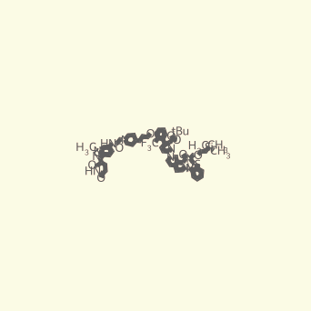 Cn1nc(C2CCC(=O)NC2=O)c2ccc(NC(=O)CN3CCC(CCCOc4cccc(-c5ccc(N6CCc7ccnc(C(=O)N(COCC[Si](C)(C)C)c8nc9ccccc9s8)c7C6)nc5C(=O)OC(C)(C)C)c4C(F)(F)F)CC3)cc21